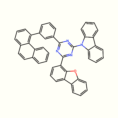 c1cc(-c2nc(-c3cccc4c3oc3ccccc34)nc(-n3c4ccccc4c4ccccc43)n2)cc(-c2cccc3ccc4ccccc4c23)c1